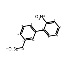 O=[N+]([O-])c1ccccc1-c1cccc(CS(=O)(=O)O)c1